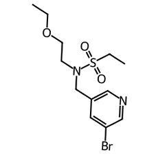 CCOCCN(Cc1cncc(Br)c1)S(=O)(=O)CC